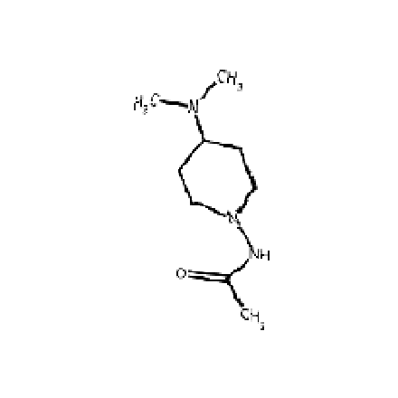 CC(=O)NN1CCC(N(C)C)CC1